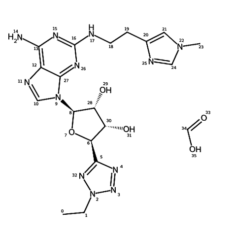 CCn1nnc([C@H]2O[C@@H](n3cnc4c(N)nc(NCCc5cn(C)cn5)nc43)[C@H](O)[C@@H]2O)n1.O=CO